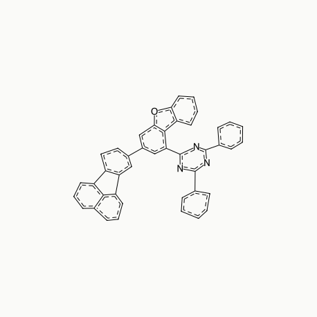 c1ccc(-c2nc(-c3ccccc3)nc(-c3cc(-c4ccc5c(c4)-c4cccc6cccc-5c46)cc4oc5ccccc5c34)n2)cc1